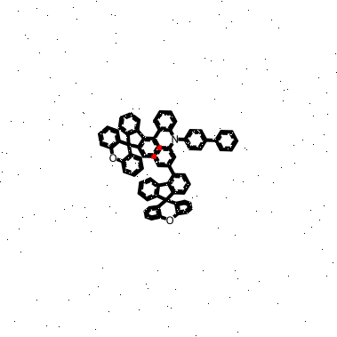 c1ccc(-c2ccc(N(c3cccc(-c4cccc5c4-c4ccccc4C54c5ccccc5Oc5ccccc54)c3)c3ccccc3-c3cccc4c3-c3ccccc3C43c4ccccc4Oc4ccccc43)cc2)cc1